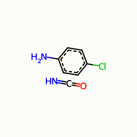 N=C=O.Nc1ccc(Cl)cc1